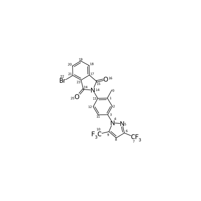 Cc1cc(-n2nc(C(F)(F)F)cc2C(F)(F)F)ccc1N1C(=O)c2cccc(Br)c2C1=O